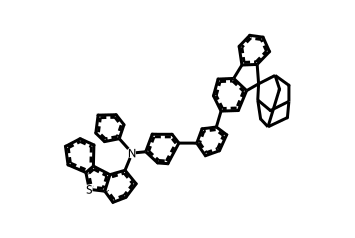 c1ccc(N(c2ccc(-c3cccc(-c4ccc5c(c4)C4(c6ccccc6-5)C5CC6CC(C5)CC4C6)c3)cc2)c2cccc3sc4ccccc4c23)cc1